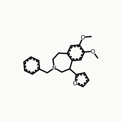 COc1cc2c(cc1OC)C(c1ccco1)CN(Cc1ccccc1)CC2